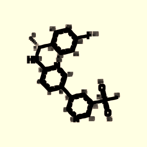 C[C@@H](Nc1ccc(-c2cncc(S(C)(=O)=O)c2)cn1)c1ccc(F)cc1